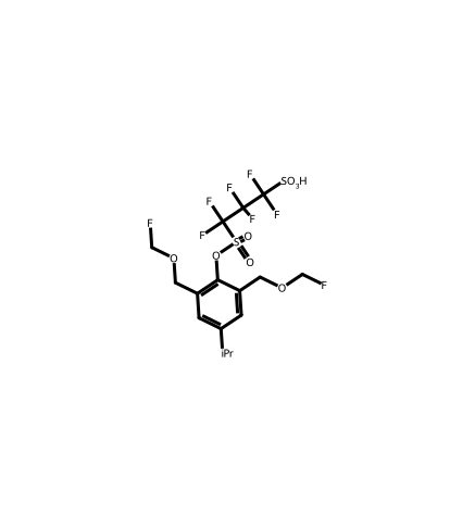 CC(C)c1cc(COCF)c(OS(=O)(=O)C(F)(F)C(F)(F)C(F)(F)S(=O)(=O)O)c(COCF)c1